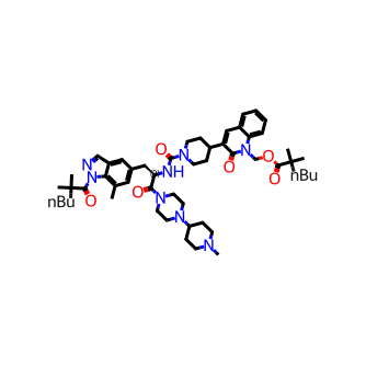 CCCCC(C)(C)C(=O)OCn1c(=O)c(C2CCN(C(=O)N[C@H](Cc3cc(C)c4c(cnn4C(=O)C(C)(C)CCCC)c3)C(=O)N3CCN(C4CCN(C)CC4)CC3)CC2)cc2ccccc21